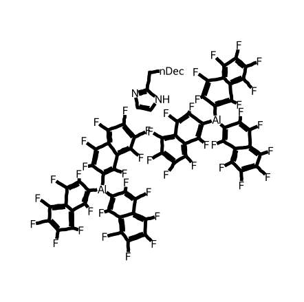 CCCCCCCCCCCc1ncc[nH]1.Fc1c(F)c(F)c2c(F)[c]([Al]([c]3c(F)c(F)c4c(F)c(F)c(F)c(F)c4c3F)[c]3c(F)c(F)c4c(F)c(F)c(F)c(F)c4c3F)c(F)c(F)c2c1F.Fc1c(F)c(F)c2c(F)[c]([Al]([c]3c(F)c(F)c4c(F)c(F)c(F)c(F)c4c3F)[c]3c(F)c(F)c4c(F)c(F)c(F)c(F)c4c3F)c(F)c(F)c2c1F